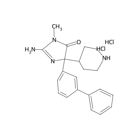 CN1C(=O)C(c2cccc(-c3ccccc3)c2)(C2CCNCC2)N=C1N.Cl.Cl